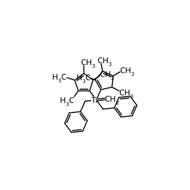 [CH2]=[Ti]([CH2]c1ccccc1)([CH2]c1ccccc1)([C]1=C(C)C(C)=C(C)C1C)[C]1=C(C)C(C)=C(C)C1C